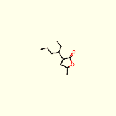 CCCC(CC)C1CC(C)OC1=O